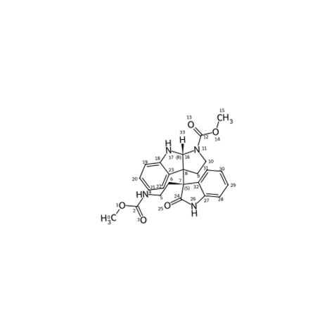 COC(=O)NCC[C@]1(C23CCN(C(=O)OC)[C@H]2Nc2ccccc23)C(=O)Nc2ccccc21